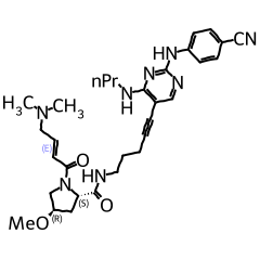 CCCNc1nc(Nc2ccc(C#N)cc2)ncc1C#CCCCNC(=O)[C@@H]1C[C@@H](OC)CN1C(=O)/C=C/CN(C)C